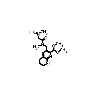 COC(OC)c1nc2c(cc1CN(C)C(=O)CN(C)C)CCCN2